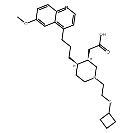 COc1ccc2nccc(CCC[C@@H]3CCN(CCSC4CCC4)C[C@@H]3CC(=O)O)c2c1